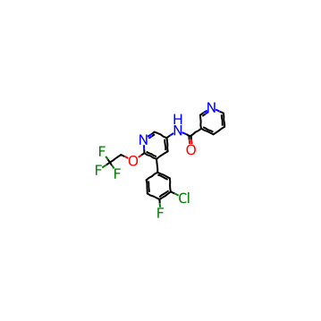 O=C(Nc1cnc(OCC(F)(F)F)c(-c2ccc(F)c(Cl)c2)c1)c1cccnc1